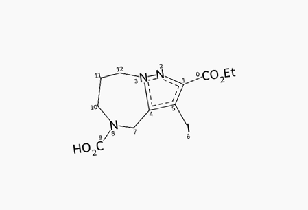 CCOC(=O)c1nn2c(c1I)CN(C(=O)O)CCC2